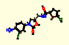 Nc1ccc(N2C[C@H](CNC(=O)C3CC=C(Cl)S3)OC2=O)cc1F